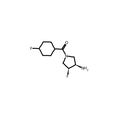 N[C@@H]1CN(C(=O)C2CCC(F)CC2)C[C@@H]1F